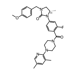 COc1ccc(CN2C[C@H](C)N(c3ccc(C(=O)N4CCN(c5ncc(C)cc5C)CC4)c(F)c3)C2=O)cc1